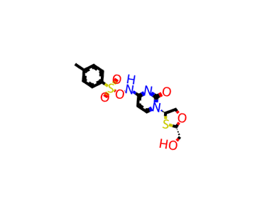 Cc1ccc(S(=O)(=O)ONc2ccn([C@@H]3CO[C@H](CO)S3)c(=O)n2)cc1